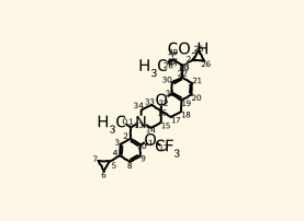 CC(c1cc(C2CC2)ccc1OC(F)(F)F)N1CCC2(CCc3ccc([C@H](C4CC4)[C@H](C)C(=O)O)cc3O2)CC1